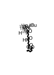 C=C1CCC(=O)N1OC(=O)CCNC(=O)CC[15NH]C(=O)[13CH]1[13CH2][13CH2][13CH2][15N]1[13CH2]C([13CH3])([13CH3])[13CH3]